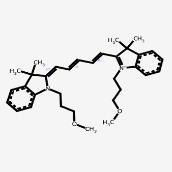 COCCCN1\C(=C/C=C/C=C/C2=[N+](CCCOC)c3ccccc3C2(C)C)C(C)(C)c2ccccc21